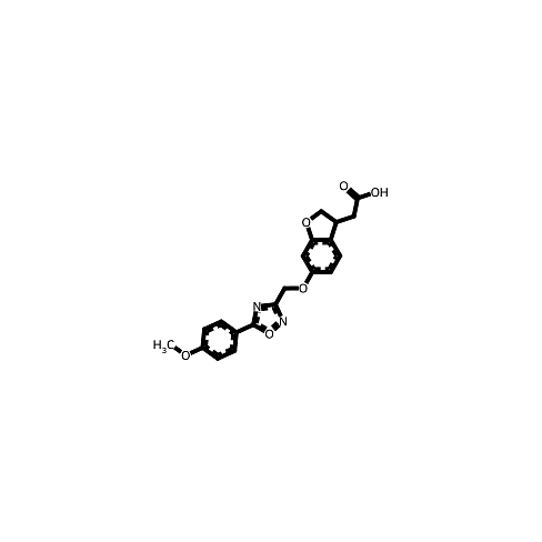 COc1ccc(-c2nc(COc3ccc4c(c3)OCC4CC(=O)O)no2)cc1